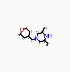 CC1CN(CC2CCOCC2)CC(C)N1